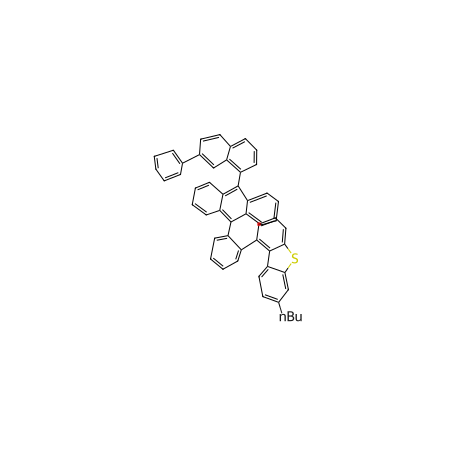 CCCCc1ccc2c(c1)sc1cccc(-c3ccccc3-c3c4ccccc4c(-c4cccc5ccc(-c6ccccc6)cc45)c4ccccc34)c12